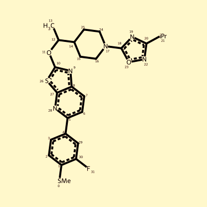 CSc1ccc(-c2ccc3nc(OC(C)C4CCN(c5nc(C(C)C)no5)CC4)sc3n2)cc1F